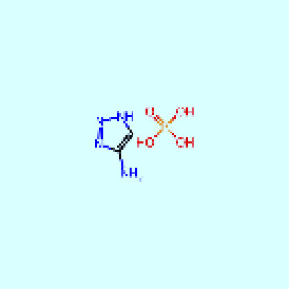 Nc1c[nH]nn1.O=P(O)(O)O